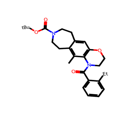 CCc1ccccc1C(=O)N1CCOc2cc3c(c(C)c21)CCN(C(=O)OC(C)(C)C)CC3